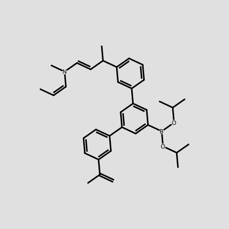 C=C(C)c1cccc(-c2cc(B(OC(C)C)OC(C)C)cc(-c3cccc(C(C)/C=C/N(C)/C=C\C)c3)c2)c1